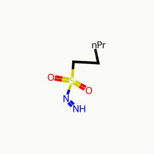 CCCCCS(=O)(=O)N=N